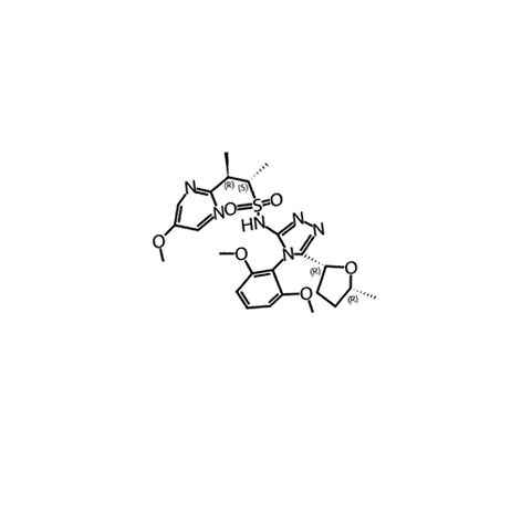 COc1cnc([C@@H](C)[C@H](C)S(=O)(=O)Nc2nnc([C@H]3CC[C@@H](C)O3)n2-c2c(OC)cccc2OC)nc1